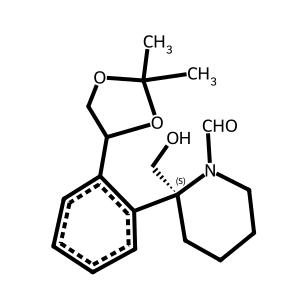 CC1(C)OCC(c2ccccc2[C@]2(CO)CCCCN2C=O)O1